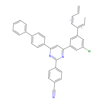 C=C/C=C\C(=C/C)c1cc(Br)cc(-c2cc(-c3ccc(-c4ccccc4)cc3)nc(-c3ccc(C#N)cc3)n2)c1